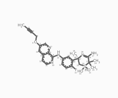 CC#CCOc1cnc2c(Nc3ccc(F)c([C@]4(C)CS(O)(O)C(C)(C)C(N)=N4)c3)nccc2c1